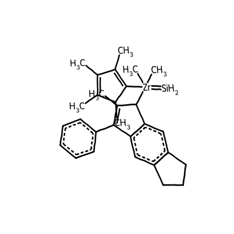 CC1=C(C)C(C)[C]([Zr]([CH3])([CH3])(=[SiH2])[CH]2C(C)=C(c3ccccc3)c3cc4c(cc32)CCC4)=C1C